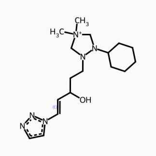 C[N+]1(C)CN(CCC(O)/C=C/n2ccnn2)N(C2CCCCC2)C1